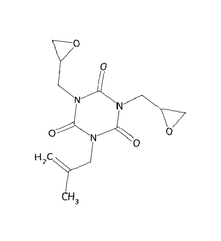 C=C(C)Cn1c(=O)n(CC2CO2)c(=O)n(CC2CO2)c1=O